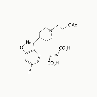 CC(=O)OCCN1CCC(c2noc3cc(F)ccc23)CC1.O=C(O)/C=C/C(=O)O